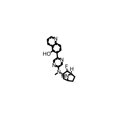 CN(c1cnc(-c2ccc3ncccc3c2O)cn1)[C@@H]1CC2CC[C@H](N2)[C@@H]1F